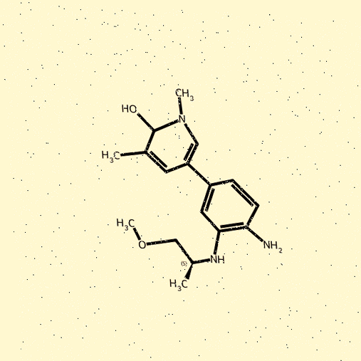 COC[C@H](C)Nc1cc(C2=CN(C)C(O)C(C)=C2)ccc1N